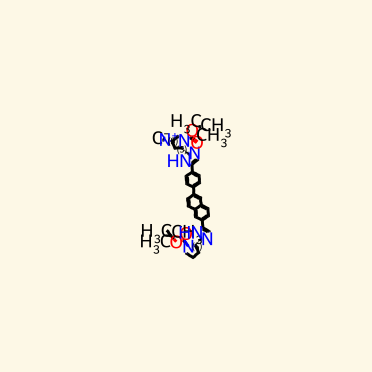 [C-]#[N+][C@H]1C[C@@H](c2ncc(-c3ccc(-c4ccc5cc(-c6cnc([C@@H]7CCCN7C(=O)OC(C)(C)C)[nH]6)ccc5c4)cc3)[nH]2)N(C(=O)OC(C)(C)C)C1